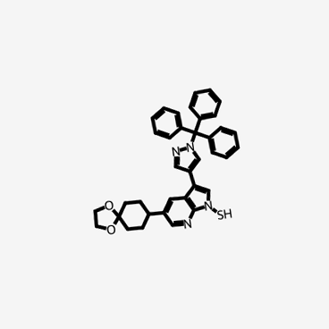 Sn1cc(-c2cnn(C(c3ccccc3)(c3ccccc3)c3ccccc3)c2)c2cc(C3CCC4(CC3)OCCO4)cnc21